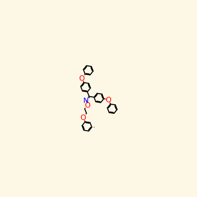 [c]1cccc(OCCON=C(c2ccc(Oc3ccccc3)cc2)c2ccc(Oc3ccccc3)cc2)c1